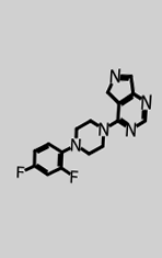 Fc1ccc(N2CCN(c3ncnc4c3CN=C4)CC2)c(F)c1